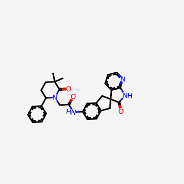 CC1(C)CCC(c2ccccc2)N(CC(=O)Nc2ccc3c(c2)CC2(C3)C(=O)Nc3ncccc32)C1=O